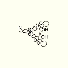 CCC(c1cccc(N(c2cccc(C(c3c(O)c4c(oc3=O)CCCCCC4)C3CC3)c2)S(=O)(=O)C2=CCC(C#N)(CC)C=C2)c1)c1c(O)c2c(oc1=O)CCCCCC2